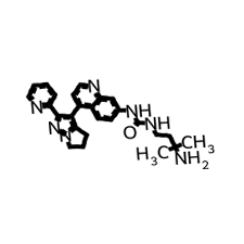 CC(C)(N)CCNC(=O)Nc1ccc2c(-c3c(-c4ccccn4)nn4c3CCC4)ccnc2c1